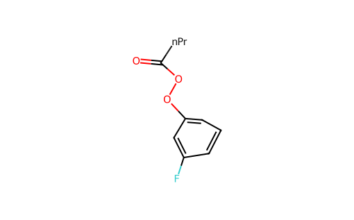 CCCC(=O)OOc1cccc(F)c1